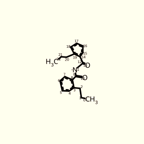 CCCc1ccccc1C(=O)[N]C(=O)c1ccccc1CCC